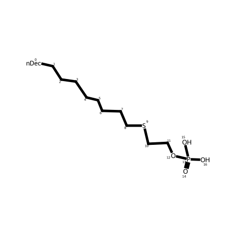 CCCCCCCCCCCCCCCCCCSCCOP(=O)(O)O